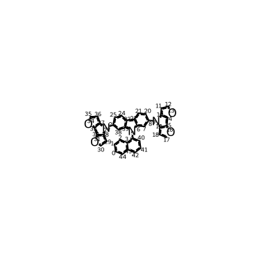 c1ccc2c(-n3c4cc(-n5c6ccoc6c6occc65)ccc4c4ccc(-n5c6ccoc6c6occc65)cc43)cccc2c1